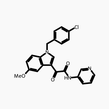 COc1ccc2c(c1)c(C(=O)C(=O)Nc1cccnc1)cn2Cc1ccc(Cl)cc1